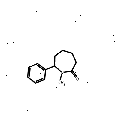 CN1C(=O)CCCCC1c1ccccc1